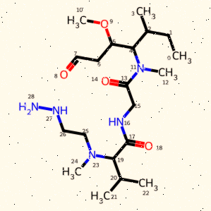 CCC(C)C(C(CC=O)OC)N(C)C(=O)CNC(=O)C(C(C)C)N(C)CCNN